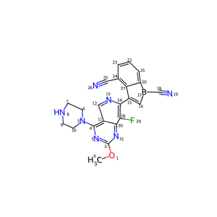 COc1nc(N2CCNCC2)c2cnc(C3=CB(C#N)c4cccc(C#N)c43)c(F)c2n1